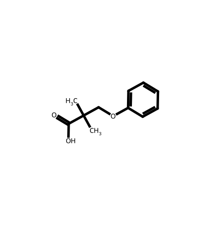 CC(C)(COc1ccccc1)C(=O)O